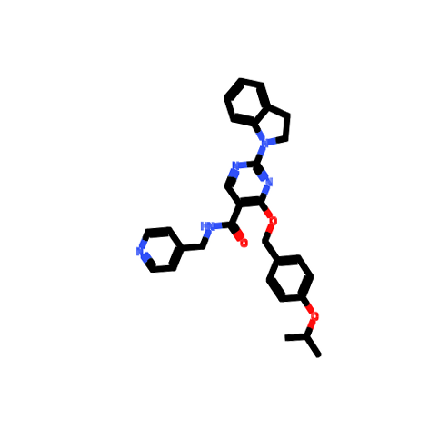 CC(C)Oc1ccc(COc2nc(N3CCc4ccccc43)ncc2C(=O)NCc2ccncc2)cc1